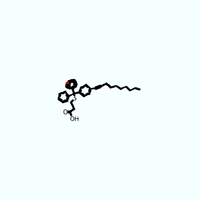 CCCCCCCCC#Cc1ccc(C(SCCC(=O)O)(c2ccccc2)[C]23[CH]4[CH]5[CH]6[CH]2[Fe]56432789[CH]3[CH]2[CH]7[CH]8[CH]39)cc1